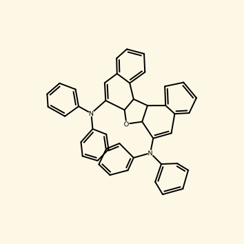 C1=C(N(c2ccccc2)c2ccccc2)C2OC3C(N(c4ccccc4)c4ccccc4)=Cc4ccccc4C3C2c2ccccc21